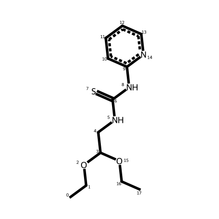 CCOC(CNC(=S)Nc1ccccn1)OCC